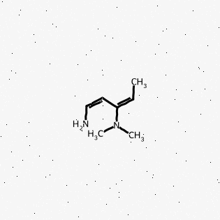 C/C=C(\C=C/N)N(C)C